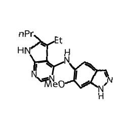 CCCc1[nH]c2ncnc(Nc3cc4cn[nH]c4cc3OC)c2c1CC